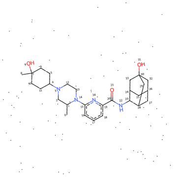 CC1CN(C2CCC(C)(O)CC2)CCN1c1cccc(C(=O)NC2C3CC4CC2CC(O)(C4)C3)n1